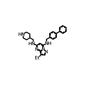 CCc1cnn2c(NCc3ccc(-c4ccccc4)cc3)cc(NCC3CCNCC3)nc12